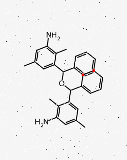 Cc1cc(N)c(C)c(C(OC(c2ccccc2)c2cc(C)cc(N)c2C)c2ccccc2)c1